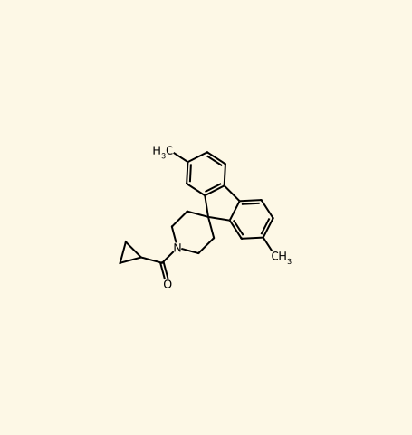 Cc1ccc2c(c1)C1(CCN(C(=O)C3CC3)CC1)c1cc(C)ccc1-2